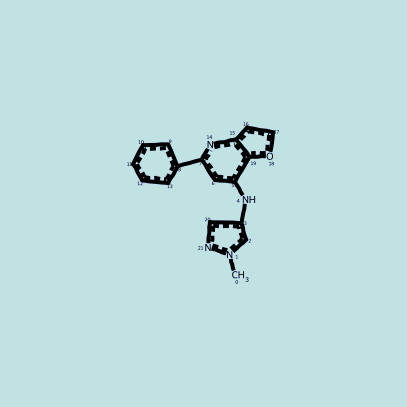 Cn1cc(Nc2cc(-c3ccccc3)nc3ccoc23)cn1